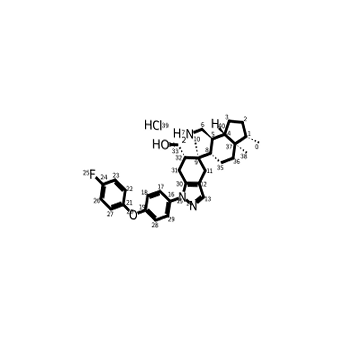 C[C@H]1CC[C@H]2[C@H](CN)[C@@H]([C@@]3(C)Cc4cnn(-c5ccc(Oc6ccc(F)cc6)cc5)c4C[C@@H]3CO)CC[C@]12C.Cl